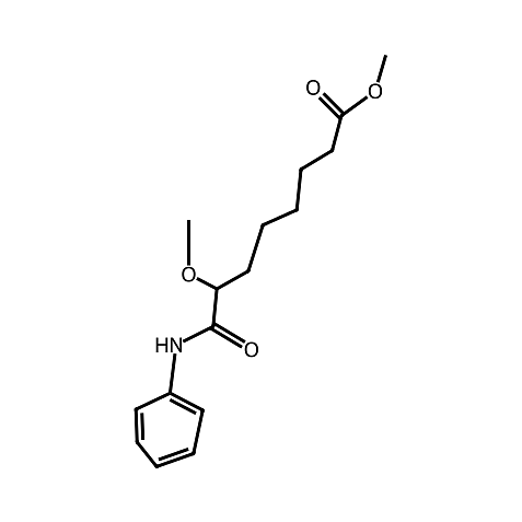 COC(=O)CCCCCC(OC)C(=O)Nc1ccccc1